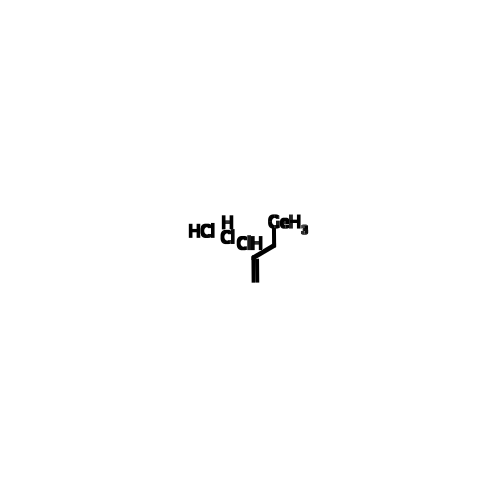 C=C[CH2][GeH3].Cl.Cl.Cl